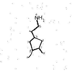 CC1CC(CCN)CC1C